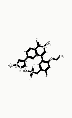 CCOc1cc(F)c(CS(C)(=O)=O)cc1-c1cn(C)c(=O)c2ccc(-c3cnn(C)c3)cc12